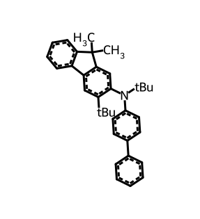 CC(C)(C)c1cc2c(cc1N(c1ccc(-c3ccccc3)cc1)C(C)(C)C)C(C)(C)c1ccccc1-2